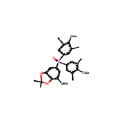 COc1cc(P(=O)(c2cc(C)c(OC)c(C)c2)c2cc(C)c(OC)c(C)c2)cc2c1OC(C)(C)O2